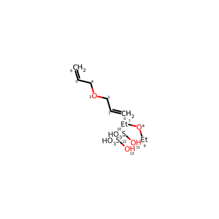 C=CCOCC=C.CCOCC.O=S(=O)(O)O.O=S(=O)(O)O